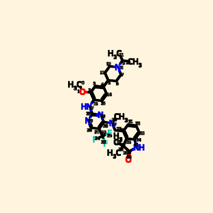 COc1cc(C2CCN(C(C)C)CC2)ccc1Nc1ncc(C(F)(F)F)c(N(C)Cc2cccc3c2C(C)(C)C(=O)N3)n1